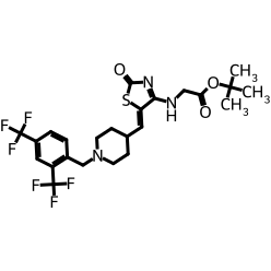 CC(C)(C)OC(=O)CNC1=NC(=O)S/C1=C\C1CCN(Cc2ccc(C(F)(F)F)cc2C(F)(F)F)CC1